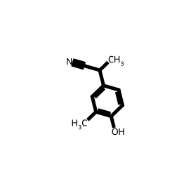 Cc1cc(C(C)C#N)ccc1O